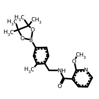 COc1ncccc1C(=O)NCc1ccc(B2OC(C)(C)C(C)(C)O2)cc1C